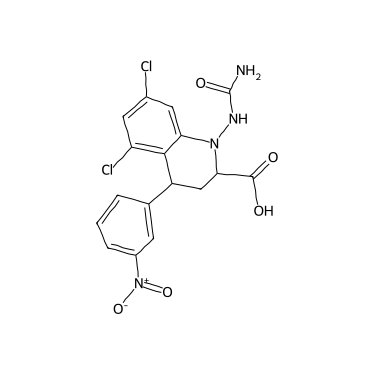 NC(=O)NN1c2cc(Cl)cc(Cl)c2C(c2cccc([N+](=O)[O-])c2)CC1C(=O)O